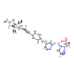 CC(=O)N1C[C@@H]2[C@H](C#Cc3ccc(-c4cc(Cn5ccnc5[C@H](C)O)no4)cc3)[C@@H]2C1